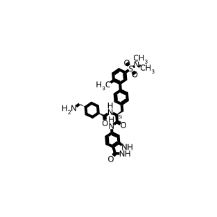 Cc1ccc(S(=O)(=O)N(C)C)cc1-c1ccc(C[C@H](NC(=O)[C@H]2CC[C@H](CN)CC2)C(=O)Nc2ccc3c(=O)[nH][nH]c3c2)cc1